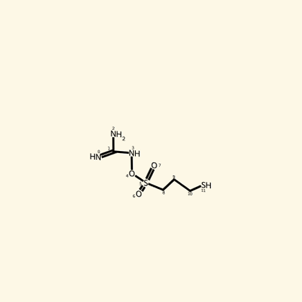 N=C(N)NOS(=O)(=O)CCCS